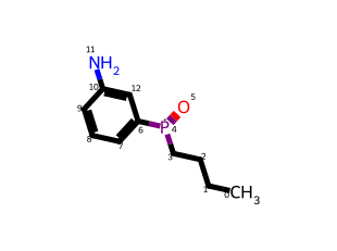 CCCC[P](=O)c1cccc(N)c1